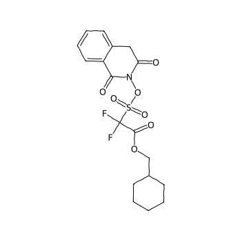 O=C1Cc2ccccc2C(=O)N1OS(=O)(=O)C(F)(F)C(=O)OCC1CCCCC1